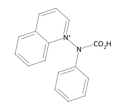 O=C(O)N(c1ccccc1)[n+]1cccc2ccccc21